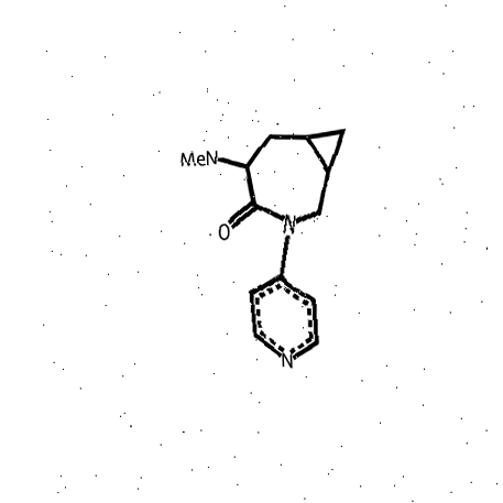 CNC1CC2CC2CN(c2ccncc2)C1=O